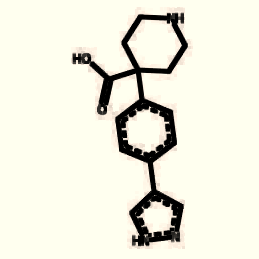 O=C(O)C1(c2ccc(-c3cn[nH]c3)cc2)CCNCC1